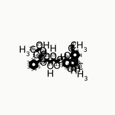 COc1ccc2c3c1O[C@H]1C(OC(=O)[C@H](O)[C@@H](O)C(=O)O[C@H](C(=O)O[C@@H](C)C(=O)O)c4ccccc4)=CC[C@@]4(O)[C@@H](C2)C(C)CC[C@]314